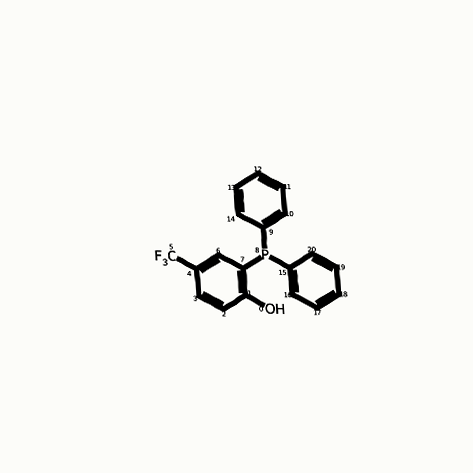 Oc1ccc(C(F)(F)F)cc1P(c1ccccc1)c1ccccc1